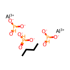 CCCC.O=[PH]([O-])[O-].O=[PH]([O-])[O-].O=[PH]([O-])[O-].[Al+3].[Al+3]